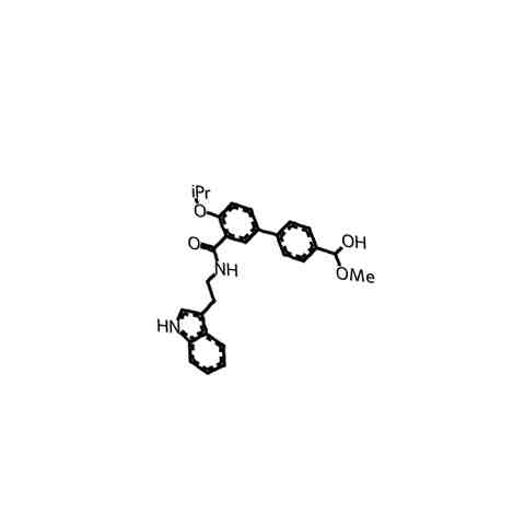 COC(O)c1ccc(-c2ccc(OC(C)C)c(C(=O)NCCc3c[nH]c4ccccc34)c2)cc1